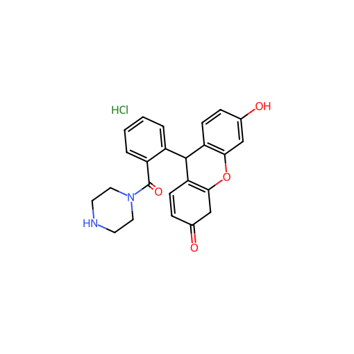 Cl.O=C1C=CC2=C(C1)Oc1cc(O)ccc1C2c1ccccc1C(=O)N1CCNCC1